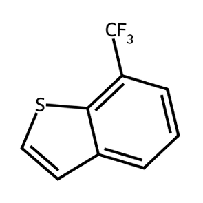 FC(F)(F)c1cccc2ccsc12